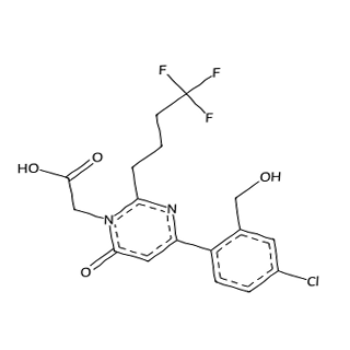 O=C(O)Cn1c(CCCC(F)(F)F)nc(-c2ccc(Cl)cc2CO)cc1=O